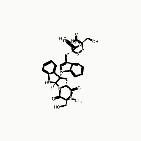 CN1C(=O)[C@@]23C[C@]4(n5cc(C[C@]67SS[C@@](CO)(C(=O)N6C)N(C)C7=O)c6ccccc65)c5ccccc5N[C@@H]4N2C(=O)[C@]1(CO)SS3